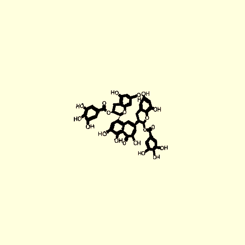 O=C(OC1Oc2c(O)cc(O)cc2CC1c1cc(O)c(=O)c2c(O)c(O)cc([C@H]3Oc4cc(O)cc(O)c4C[C@H]3OC(=O)c3cc(O)c(O)c(O)c3)c2c1)c1cc(O)c(O)c(O)c1